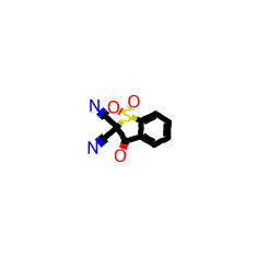 N#CC1(C#N)C(=O)c2ccccc2S1(=O)=O